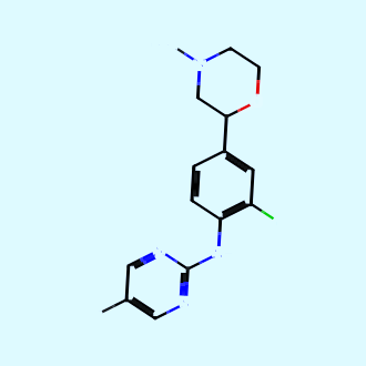 O=C(O)N1CCOC(c2ccc(Nc3ncc(C(F)(F)F)cn3)c(Cl)c2)C1